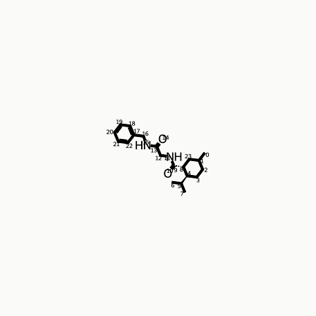 CC1CC[C@@H](C(C)C)[C@H](C(=O)NCC(=O)NCc2ccccc2)C1